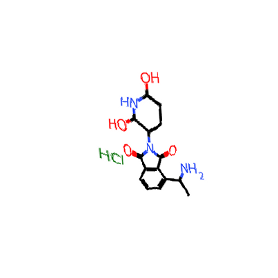 CC(N)c1cccc2c1C(=O)N(C1CCC(O)NC1O)C2=O.Cl